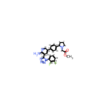 COC(=O)CN1CCCC1c1ccc(-c2cnc(N)c(-c3nnnn3-c3cccc(F)c3F)c2)cc1